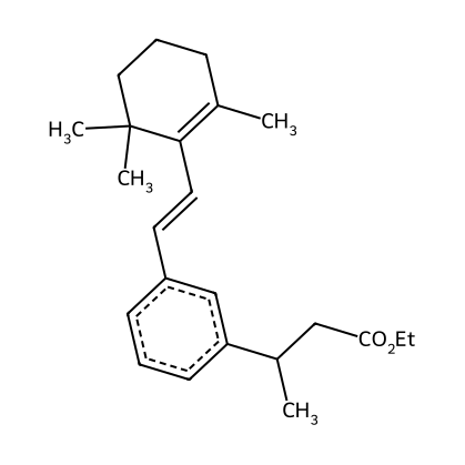 CCOC(=O)CC(C)c1cccc(C=CC2=C(C)CCCC2(C)C)c1